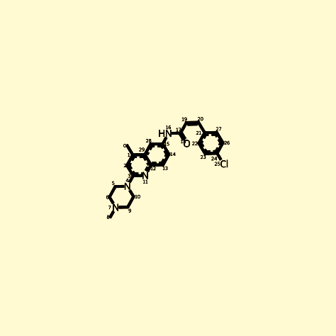 Cc1cc(N2CCN(C)CC2)nc2ccc(NC(=O)/C=C\c3ccc(Cl)cc3)cc12